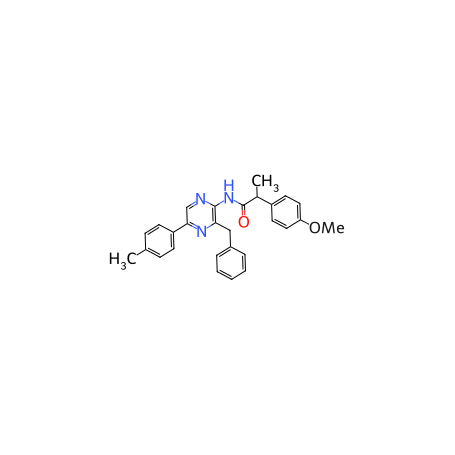 COc1ccc(C(C)C(=O)Nc2ncc(-c3ccc(C)cc3)nc2Cc2ccccc2)cc1